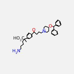 CC(CCCCN)(C(=O)O)c1ccc(C(=O)CCCN2CCC(OC(c3ccccc3)c3ccccc3)CC2)cc1